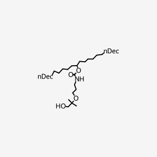 CCCCCCCCCCCCCCCCC(CCCCCCCCCCCCCCC)OC(=O)NCCCOC(C)(C)CO